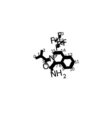 CC(C)c1oc(N)c2c3ccccc3cc[n+]12.F[B-](F)(F)F